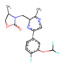 Cc1ncc(-c2ccc(F)c(OC(F)F)c2)nc1CN1C(=O)OCC1C